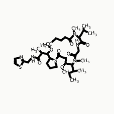 CCCCC(=O)N(C)C(C(=O)NCC(=O)N(C)C(C(C)CC)C(CC(=O)N1CCCC1C(OC)C(C)C(=O)NCc1nccs1)OC)C(C)C